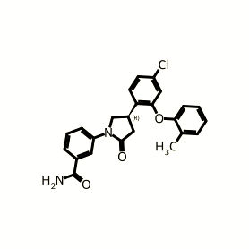 Cc1ccccc1Oc1cc(Cl)ccc1[C@H]1CC(=O)N(c2cccc(C(N)=O)c2)C1